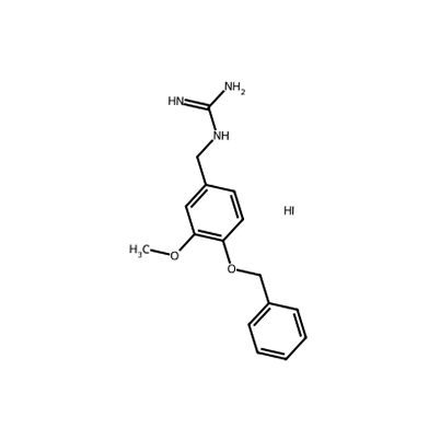 COc1cc(CNC(=N)N)ccc1OCc1ccccc1.I